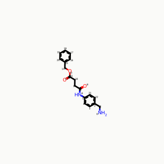 NCc1ccc(NC(=O)CCC(=O)OCc2ccccc2)cc1